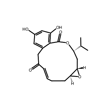 CC(C)[C@@H]1C[C@@H]2O[C@H]2CC/C=C/C(=O)Cc2cc(O)cc(O)c2C(=O)O1